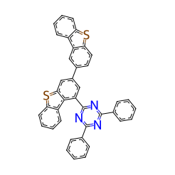 c1ccc(-c2nc(-c3ccccc3)nc(-c3cc(-c4ccc5sc6ccccc6c5c4)cc4sc5ccccc5c34)n2)cc1